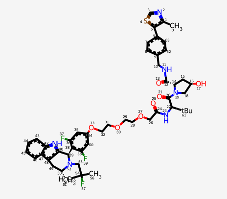 Cc1ncsc1-c1ccc(CNC(=O)[C@@H]2C[C@@H](O)CN2C(=O)C(NC(=O)COCCOCCOc2cc(F)c([C@@H]3c4[nH]c5ccccc5c4C[C@@H](C)N3CC(C)(C)F)c(F)c2)C(C)(C)C)cc1